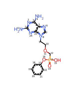 Nc1nc(N)c2ncn(CCOCP(=O)(O)Oc3ccccc3)c2n1